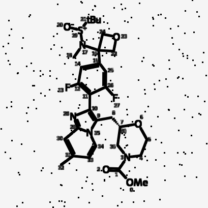 COC(=O)N1CCO[C@@H](Cc2c(-c3c(F)cc(C4(N(C)[S+]([O-])C(C)(C)C)COC4)cc3F)nc3cc(C)ccn23)C1